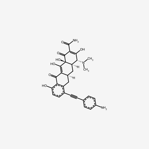 CN(C)[C@H]1C(O)=C(C(N)=O)C(=O)[C@@]2(O)C(O)=C3C(=O)c4c(O)ccc(C#Cc5ccc(N)cc5)c4C[C@@H]3C[C@H]12